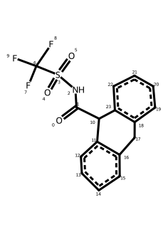 O=C(NS(=O)(=O)C(F)(F)F)C1c2ccccc2Cc2ccccc21